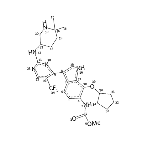 COC(=O)Nc1ccc2c(-c3nc(N[C@H]4CCC(C)(C)NC4)ncc3C(F)(F)F)c[nH]c2c1OC1CCCC1